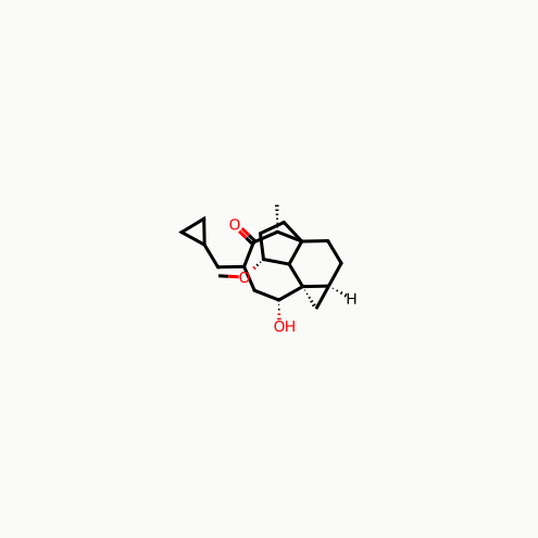 CO[C@@H]1CCC23CC[C@H]4C[C@@]4(C12)[C@H](O)CC(CC1CC1)C(=O)[C@@H]3C